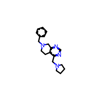 c1ccc(CN2CCc3c(CN4CCCC4)ncnc3C2)cc1